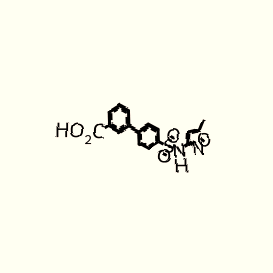 Cc1cc(NS(=O)(=O)c2ccc(-c3cccc(C(=O)O)c3)cc2)no1